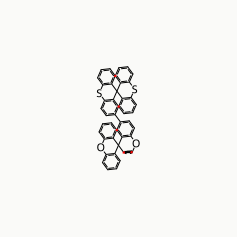 c1ccc2c(c1)Oc1ccccc1C21c2ccccc2Oc2ccc(-c3ccc4c(c3)C3(c5ccccc5Sc5ccccc53)c3ccccc3S4)cc21